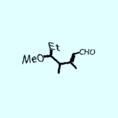 CCC(OC)C(C)C(C)=CC=O